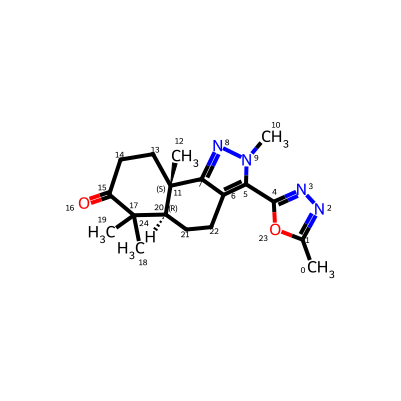 Cc1nnc(-c2c3c(nn2C)[C@@]2(C)CCC(=O)C(C)(C)[C@@H]2CC3)o1